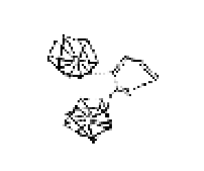 c1cnc([C]23[CH]4[CH]5[CH]6[CH]2[Fe]56432789[CH]3[CH]2[CH]7[CH]8[CH]39)c([C]23[CH]4[CH]5[CH]6[CH]2[Fe]56432789[CH]3[CH]2[CH]7[CH]8[CH]39)c1